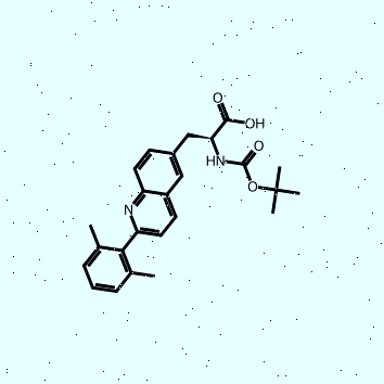 Cc1cccc(C)c1-c1ccc2cc(C[C@H](NC(=O)OC(C)(C)C)C(=O)O)ccc2n1